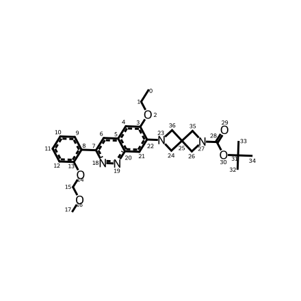 CCOc1cc2cc(-c3ccccc3OCOC)nnc2cc1N1CC2(CN(C(=O)OC(C)(C)C)C2)C1